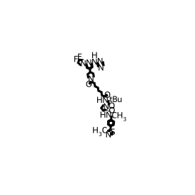 Cc1ncsc1-c1ccc([C@H](C)NC(=O)[C@@H]2CCCN2C(=O)[C@@H](NC(=O)CCCCCCC(=O)N2CCC(c3cc(Nc4cnccn4)nc(N4CCC(F)(F)C4)c3)CC2)C(C)(C)C)cc1